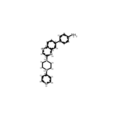 Nc1ccc(-c2ccc3ncc(N4CCN(c5ccncc5)CC4)nc3c2)cc1